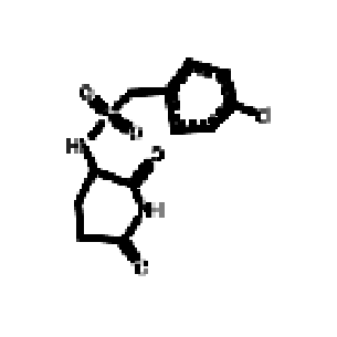 O=C1CCC(NS(=O)(=O)Cc2ccc(Cl)cc2)C(=O)N1